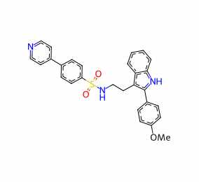 COc1ccc(-c2[nH]c3ccccc3c2CCNS(=O)(=O)c2ccc(-c3ccncc3)cc2)cc1